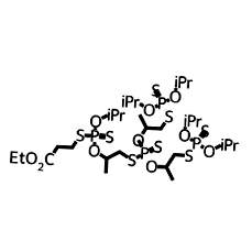 CCOC(=O)CCSP(=S)(OC(C)C)OC(C)CSP(=S)(OC(C)CSP(=S)(OC(C)C)OC(C)C)OC(C)CSP(=S)(OC(C)C)OC(C)C